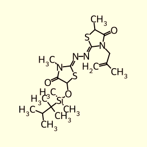 C=C(C)CN1C(=O)C(C)SC1=NN=C1SC(O[Si](C)(C)C(C)(C)C(C)C)C(=O)N1C